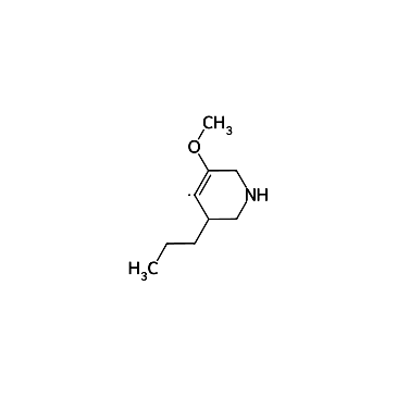 CCCC1[C]=C(OC)CNC1